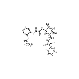 O=C(O)NCc1ccccc1CNC(=O)Cc1nc(NCC(F)(F)c2ccccn2)c(=O)[nH]c1Cl